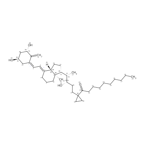 C=C1/C(=C\C=C2/CCC[C@]3(C)[C@@H]([C@H](C)[C@@H](O)CCC4(C(=O)CCCCCCCCC)CC4)CC[C@@H]23)C[C@@H](O)C[C@@H]1O